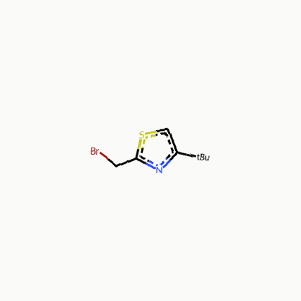 CC(C)(C)c1csc(CBr)n1